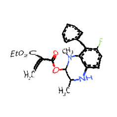 C=C(C(=O)OCC)C(=O)OC1C(C)Nc2ccc(F)c(-c3ccccc3)c2N1C